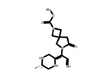 C[C@H]1CN/C(=C(\C=N)N2CC3(CC2=O)CN(C(=O)OC(C)(C)C)C3)CN1